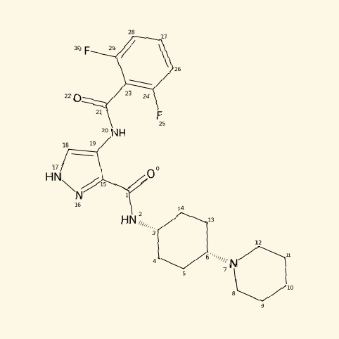 O=C(N[C@H]1CC[C@@H](N2CCCCC2)CC1)c1n[nH]cc1NC(=O)c1c(F)cccc1F